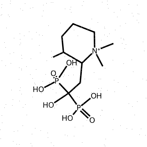 CC1CCC[N+](C)(C)C1CC(O)(P(=O)(O)O)P(=O)(O)O